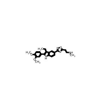 CCc1c(-c2ccc(OC)c(OC)c2)[nH]c2ccc(-c3noc(CCNC)n3)cc12